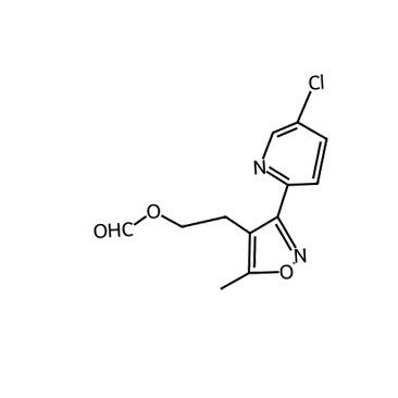 Cc1onc(-c2ccc(Cl)cn2)c1CCOC=O